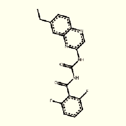 CCc1ccc2ncc(NC(=O)NC(=O)c3c(F)cccc3F)nc2c1